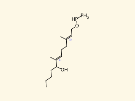 CCCCC(O)/C(C)=C/CC/C(C)=C/COPP